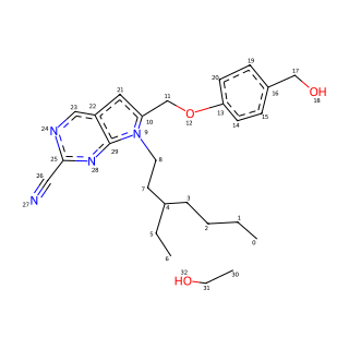 CCCCC(CC)CCn1c(COc2ccc(CO)cc2)cc2cnc(C#N)nc21.CCO